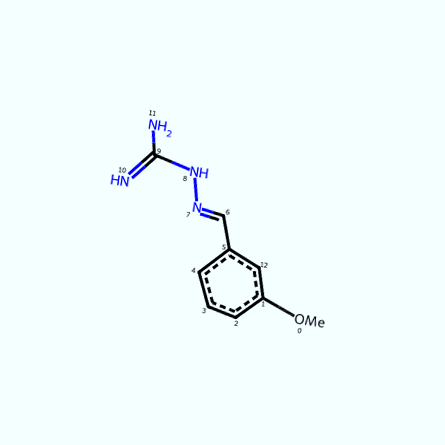 COc1cccc(/C=N/NC(=N)N)c1